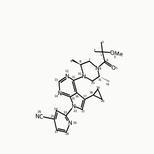 COC(C)(C)C(=O)N1C[C@H](C)N(c2ncnc3c2c(C2CC2)cn3-c2cc(C#N)ccn2)C[C@H]1C